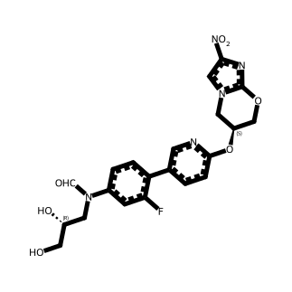 O=CN(C[C@@H](O)CO)c1ccc(-c2ccc(O[C@@H]3COc4nc([N+](=O)[O-])cn4C3)nc2)c(F)c1